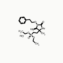 CCOP(=O)(CCC1(C)NC(=O)N(OCCc2ccccc2)C1=N)OCC.Cl